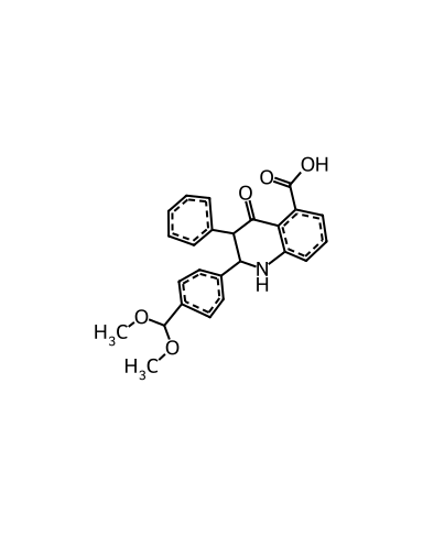 COC(OC)c1ccc(C2Nc3cccc(C(=O)O)c3C(=O)C2c2ccccc2)cc1